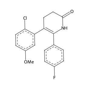 COc1ccc(Cl)c(C2=C(c3ccc(F)cc3)NC(=O)CC2)c1